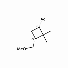 COC[C@@H]1C[C@H](C(C)=O)C1(C)C